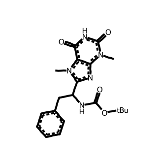 Cn1c(C(Cc2ccccc2)NC(=O)OC(C)(C)C)nc2c1c(=O)[nH]c(=O)n2C